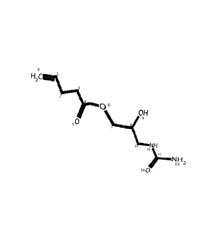 C=CCCC(=O)OCC(O)CNC(N)=O